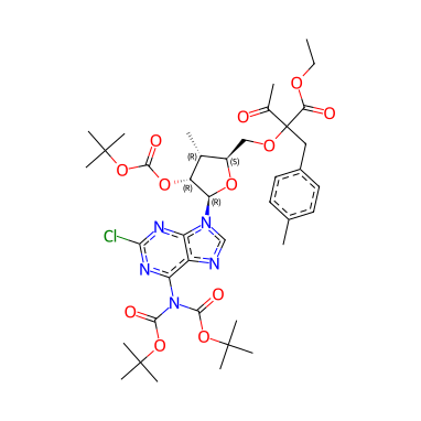 CCOC(=O)C(Cc1ccc(C)cc1)(OC[C@H]1O[C@@H](n2cnc3c(N(C(=O)OC(C)(C)C)C(=O)OC(C)(C)C)nc(Cl)nc32)[C@H](OC(=O)OC(C)(C)C)[C@@H]1C)C(C)=O